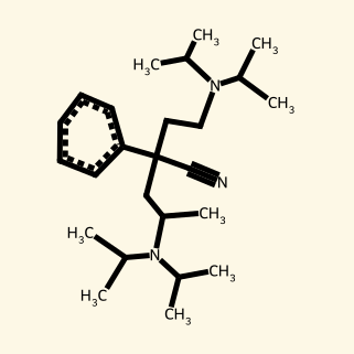 CC(C)N(CCC(C#N)(CC(C)N(C(C)C)C(C)C)c1ccccc1)C(C)C